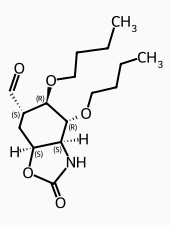 CCCCO[C@@H]1[C@H]2NC(=O)O[C@H]2C[C@H](C=O)[C@H]1OCCCC